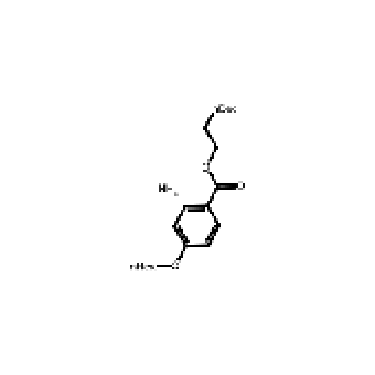 CCCCCCCCCCCCOC(=O)c1ccc(OCCCCCC)cc1.N